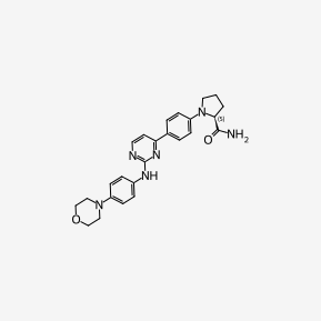 NC(=O)[C@@H]1CCCN1c1ccc(-c2ccnc(Nc3ccc(N4CCOCC4)cc3)n2)cc1